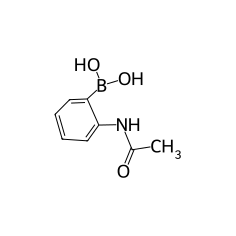 CC(=O)Nc1ccccc1B(O)O